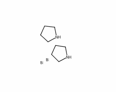 C1CCNC1.C1CCNC1.[B].[B]